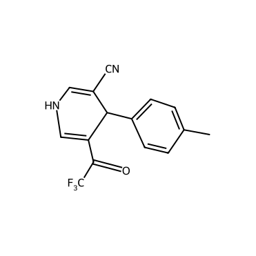 Cc1ccc(C2C(C#N)=CNC=C2C(=O)C(F)(F)F)cc1